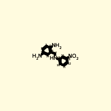 Nc1ccc(N)c(CNc2cccc([N+](=O)[O-])c2)c1